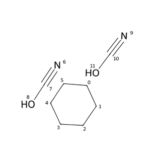 C1CCCCC1.N#CO.N#CO